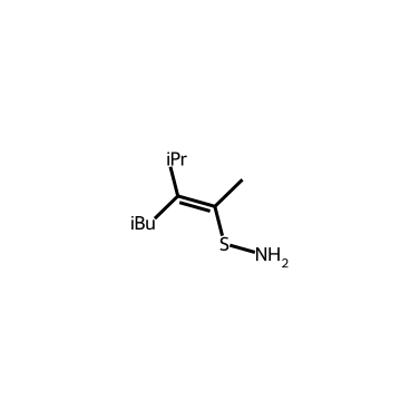 CCC(C)/C(=C(/C)SN)C(C)C